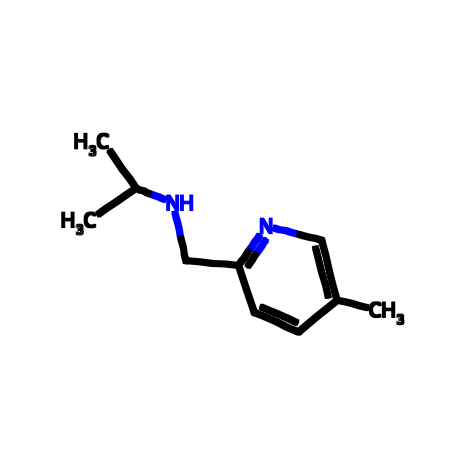 Cc1ccc(CNC(C)C)nc1